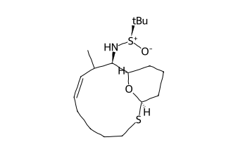 CC1/C=C\CCCCS[C@@H]2CCC[C@@H](O2)[C@@H]1N[S@+]([O-])C(C)(C)C